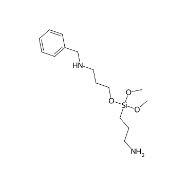 CO[Si](CCCN)(OC)OCCCNCc1ccccc1